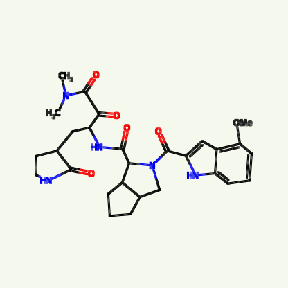 COc1cccc2[nH]c(C(=O)N3CC4CCCC4C3C(=O)NC(CC3CCNC3=O)C(=O)C(=O)N(C)C)cc12